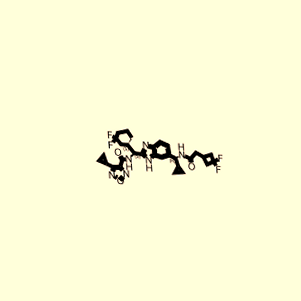 O=C(CC1CC(F)(F)C1)N[C@@H](c1ccc2nc([C@@H](NC(=O)c3nonc3C3CC3)[C@H]3CCCC(F)(F)C3)[nH]c2c1)C1CC1